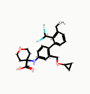 CCc1cccc(-c2ccc(NC3(C(=O)O)CCOCC3)cc2COC2CC2)c1C(F)F